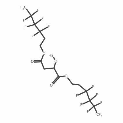 O=C(CC(OS)C(=O)OCCC(F)(F)C(F)(F)C(F)(F)C(F)(F)F)OCCC(F)(F)C(F)(F)C(F)(F)C(F)(F)F